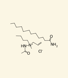 C=CC[N+](C)(CCCC)NC(C)=O.CCCCCCCCCCCC(N)=O.[Cl-]